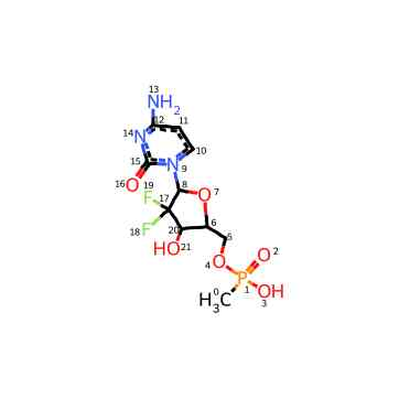 CP(=O)(O)OCC1OC(n2ccc(N)nc2=O)C(F)(F)C1O